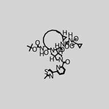 Cc1nc(-c2cccc(C(=O)N3C[C@H]4CN5C(=O)[C@@H](NC(=O)OC(C)(C)C)CCCCC/C=C\[C@@H]6C[C@@]6(C(=O)NS(=O)(=O)C6CC6)NC(=O)[C@@H]5[C@H]4C3)n2)cs1